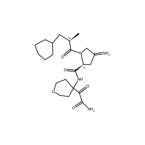 C[C@H](CC1CCCCC1)C(=O)N1CC(=[SiH2])C[C@H]1C(=O)NC1(C(=O)C(N)=O)CCOCC1